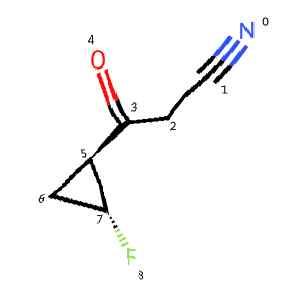 N#CCC(=O)[C@@H]1C[C@H]1F